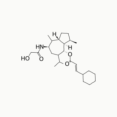 CC(C)C1C[C@@H](NC(=O)CO)C(C)[C@@H]2CC[C@@H](C)[C@H]2[C@@H]1OC(=O)/C=C/C1CCCCC1